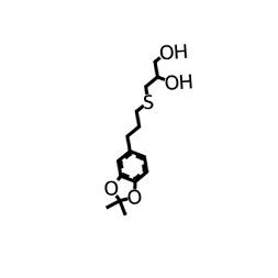 CC1(C)Oc2ccc(CCCSCC(O)CO)cc2O1